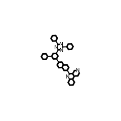 c1ccc(-c2cc(-c3ccc4cc(-c5nc6ccccc6c6ccncc56)ccc4c3)cc(-c3nc(-c4ccccc4)nc(-c4ccccc4)n3)c2)cc1